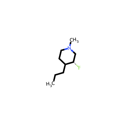 CCCC1CCN(C)C[C@@H]1F